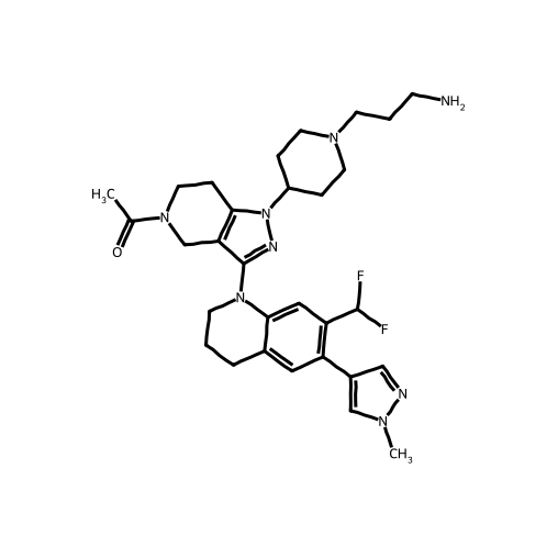 CC(=O)N1CCc2c(c(N3CCCc4cc(-c5cnn(C)c5)c(C(F)F)cc43)nn2C2CCN(CCCN)CC2)C1